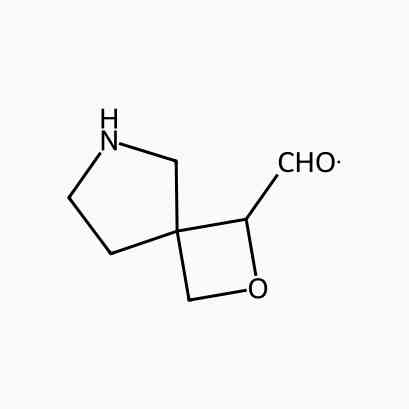 O=[C]C1OCC12CCNC2